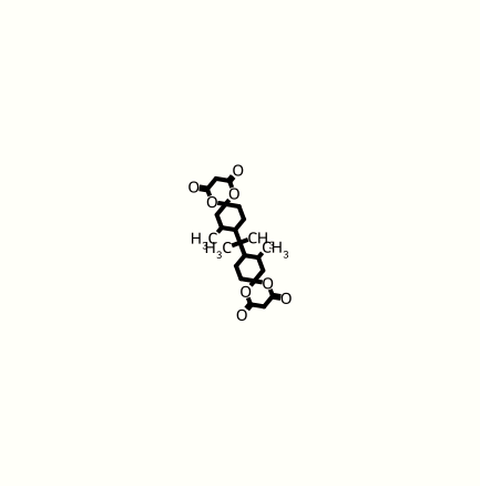 CC1CC2(CCC1C(C)(C)C1CCC3(CC1C)OC(=O)CC(=O)O3)OC(=O)CC(=O)O2